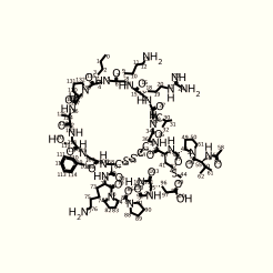 CCCC[C@@H]1NC(=O)[C@H](CCCCN)NC(=O)[C@H](CCCNC(=N)N)NC(=O)[C@H](CC(C)C)NC(=O)C(NC(=O)[C@H](CCSC)NC(=O)[C@@H]2CCCN2C(=O)[C@@H](NC(C)=O)C(C)C)CCSSC[C@@H](C(=O)NC(CCCCN)C(=O)N2CCC[C@H]2C(=O)N2CCC[C@H]2C(=O)N[C@@H](CCC(=O)O)C(N)=O)NC(=O)[C@H](Cc2ccccc2)NC(=O)[C@H](CO)NC(=O)C(C)NC(=O)[C@@H]2CCCN2C1=O